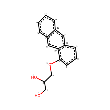 OCC(O)COc1cccc2cc3ccccc3cc12